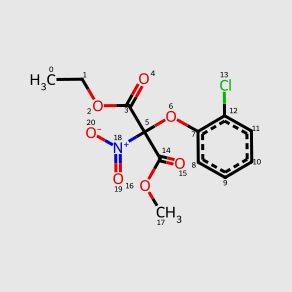 CCOC(=O)C(Oc1ccccc1Cl)(C(=O)OC)[N+](=O)[O-]